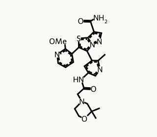 COc1ncccc1-c1sc2c(C(N)=O)cnn2c1-c1cc(NC(=O)CN2CCOC(C)(C)C2)cnc1C